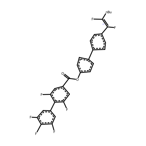 CCCC/C(F)=C(\F)c1ccc(-c2ccc(OC(=O)c3cc(F)c(-c4cc(F)c(F)c(F)c4)c(F)c3)cc2)cc1